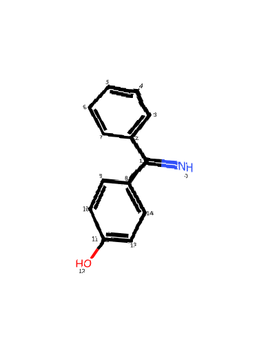 N=C(c1ccccc1)c1ccc(O)cc1